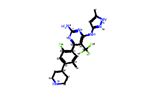 Cc1cc(Nc2nc(N)nc(-c3cc(C)c(C4CCNCC4)cc3F)c2C(F)(F)F)n[nH]1